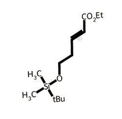 CCOC(=O)/C=C/CCO[Si](C)(C)C(C)(C)C